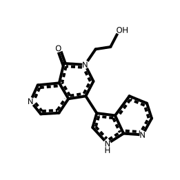 O=c1c2cnccc2c(-c2c[nH]c3ncccc23)cn1CCO